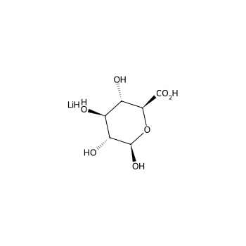 O=C(O)[C@H]1O[C@@H](O)[C@H](O)[C@@H](O)[C@@H]1O.[LiH]